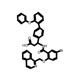 O=C(O)CC(NC(=O)c1cc(Br)ccc1OCc1nccc2ccccc12)c1ccc(-c2ccccc2Oc2ccccc2)cc1